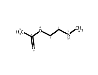 CBCCOC(C)=O